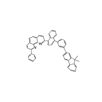 CC1(C)c2ccccc2-c2ccc(-c3cccc(-c4ccc(-c5ccc6ccc7ccc(-c8ccccc8)nc7c6n5)c5ccccc45)c3)cc21